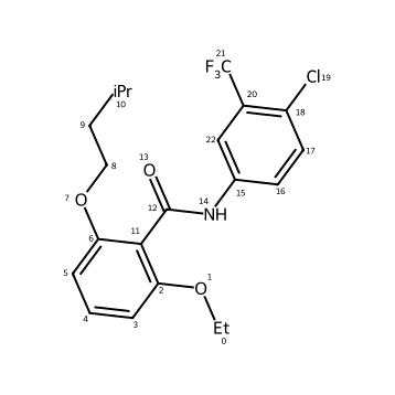 CCOc1cccc(OCCC(C)C)c1C(=O)Nc1ccc(Cl)c(C(F)(F)F)c1